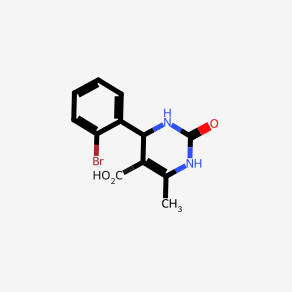 CC1=C(C(=O)O)C(c2ccccc2Br)NC(=O)N1